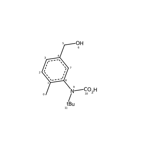 Cc1ccc(CO)cc1N(C(=O)O)C(C)(C)C